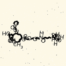 C[C@@H]1C/C=C/C(OC(=O)COCCOCCNC(=O)CCCC[C@@H]2SC[C@@H]3NC(=O)N[C@@H]32)C/C=C/C(=N/OCC(=O)N2CCCCC2)Cc2cc(O)cc(O)c2C(=O)O1